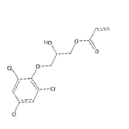 C=CC(=O)OCC(O)COc1c(Cl)cc(Cl)cc1Cl